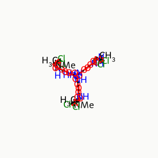 CNCc1c(Cl)cc(Cl)cc1C(C)c1cccc(S(=O)(=O)NCCOCCOCCOCCNC(=O)CN(CC(=O)NCCCOCCOCCOCCNS(=O)(=O)c2cccc(C3CN(C)Cc4c(Cl)cc(Cl)cc43)c2)CC(=O)NCCOCCOCCOCCNS(=O)(=O)c2cccc(C(C)c3cc(Cl)cc(Cl)c3CNC)c2)c1